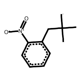 [CH2]C(C)(C)Cc1ccccc1[N+](=O)[O-]